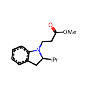 COC(=O)CCN1c2ccccc2CC1C(C)C